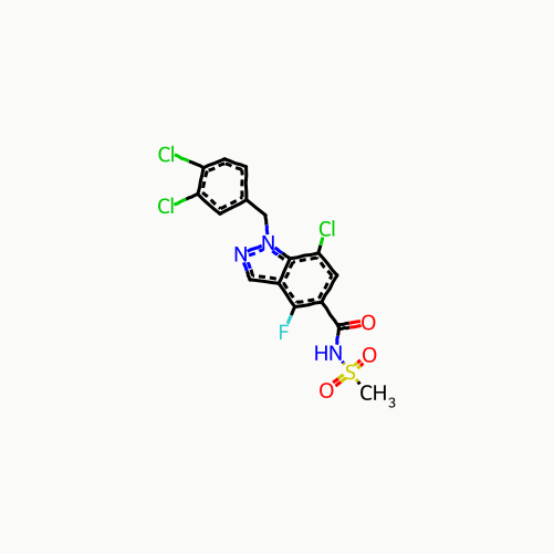 CS(=O)(=O)NC(=O)c1cc(Cl)c2c(cnn2Cc2ccc(Cl)c(Cl)c2)c1F